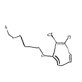 Clc1cccc(OCCCCBr)c1Cl